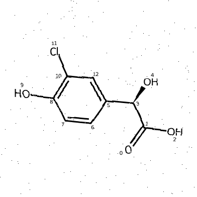 O=C(O)[C@H](O)c1ccc(O)c(Cl)c1